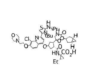 CC[C@H]1C[C@]1(NC(=O)[C@@H]1C[C@@H](Oc2cc(-c3csc(NC(C)C)n3)nc3c(Cl)c(OCCN4CCOCC4)ccc23)CC1C(=O)[C@@H](NC(=O)O[C@@H]1C[C@@H]2C[C@@H]2C1)C(C)(C)C)C(=O)O